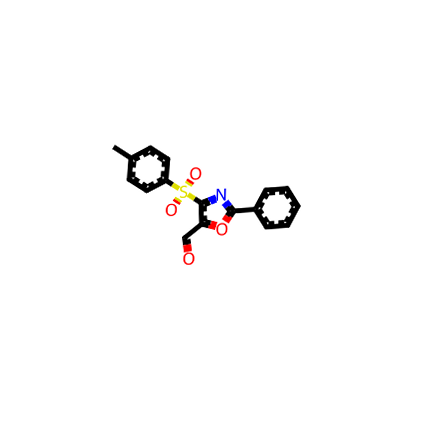 Cc1ccc(S(=O)(=O)c2nc(-c3ccccc3)oc2C=O)cc1